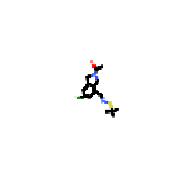 CC(=O)N1Cc2cc(Cl)cc(C=NSC(C)(C)C)c2C1